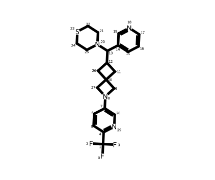 FC(F)(F)c1ccc(N2CC3(CC(C(c4cccnc4)N4CCSCC4)C3)C2)cn1